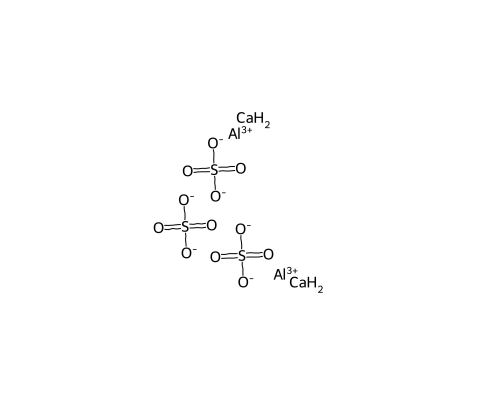 O=S(=O)([O-])[O-].O=S(=O)([O-])[O-].O=S(=O)([O-])[O-].[Al+3].[Al+3].[CaH2].[CaH2]